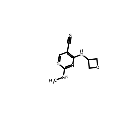 CNc1ncc(C#N)c(NC2COC2)n1